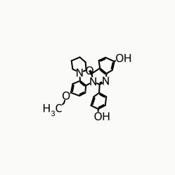 CCOc1ccc(-n2c(-c3ccc(O)cc3)nc3cc(O)ccc3c2=O)c(N2CCCCC2)c1